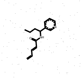 C=CC=CC(=O)NC(CCC)c1cccnc1